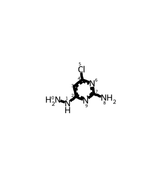 NNc1cc(Cl)nc(N)n1